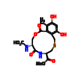 COC(=O)[C@@H]1CSCc2c(O)cc(O)c(C)c2C(=O)OC[C@@H](NC(=O)O)C(=O)N1